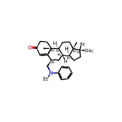 CCN(C[C@@H]1C[C@@H]2[C@H](CC[C@@]3(C)[C@H]2CC[C@@]3(OC(C)=O)C(C)=O)[C@@]2(C)CCC(=O)C=C12)c1ccccc1